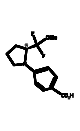 COC(F)(F)[C@@H]1CCCN1c1ccc(C(=O)O)cc1